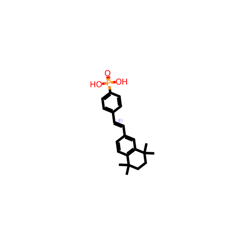 CC1(C)CCC(C)(C)c2cc(/C=C/c3ccc(P(=O)(O)O)cc3)ccc21